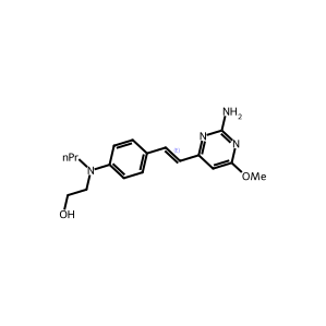 CCCN(CCO)c1ccc(/C=C/c2cc(OC)nc(N)n2)cc1